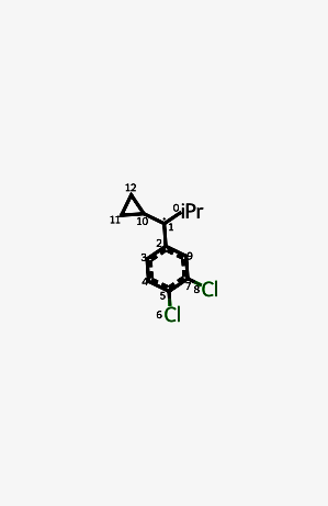 CC(C)[C](c1ccc(Cl)c(Cl)c1)C1CC1